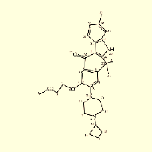 COCCOc1cc2c(cc1N1CCN(C3CCC3)CC1)C(C)(C)c1[nH]c3cc(C)ccc3c1C2=O